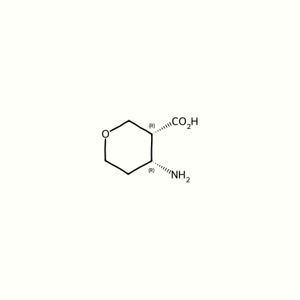 N[C@@H]1CCOC[C@@H]1C(=O)O